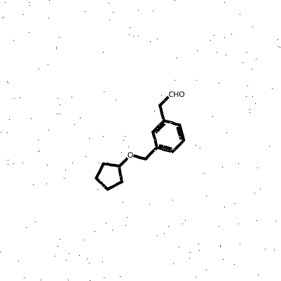 O=CCc1cccc(COC2CCCC2)c1